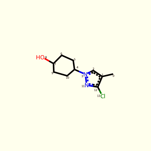 Cc1cn(C2CCC(O)CC2)nc1Cl